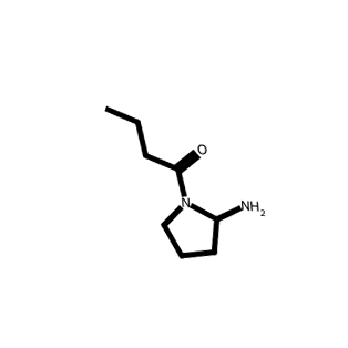 CCCC(=O)N1CCCC1N